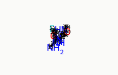 Cc1cc(-c2cnc3c(NCCCN)cc(Oc4cccc(F)c4)nn23)ccc1C(=O)NC1CC1